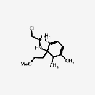 COCCC1(NC(=O)CCl)C(C)=CC=C(C)C1C